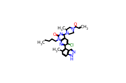 C=CC(=O)N1CCN(c2nc(=O)n(CCCCC)c3nc(-c4c(C)ccc5[nH]ncc45)c(Cl)cc23)[C@@H](C)C1